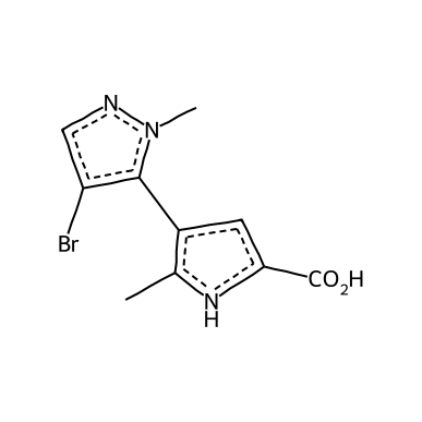 Cc1[nH]c(C(=O)O)cc1-c1c(Br)cnn1C